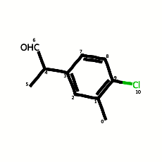 Cc1cc(C(C)C=O)ccc1Cl